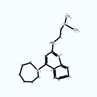 CN(C)CCNc1cc(N2CCCCCC2)c2ccccc2n1